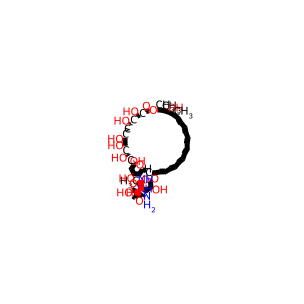 C[C@@H]1[C@H](O)[C@@H](C)/C=C/C=C/C=C/C=C/C=C/C=C/C=C/[C@H](O[C@@H]2O[C@H](C)[C@@H](O)[C@H](N)[C@@H]2O)C[C@@H]2O[C@](O)(C[C@@H](O)C[C@@H](O)[C@H](O)CC[C@@H](O)C[C@@H](O)CC(=O)O[C@H]1C)C[C@H](O)[C@H]2NC(=O)NC1(CO)COC1